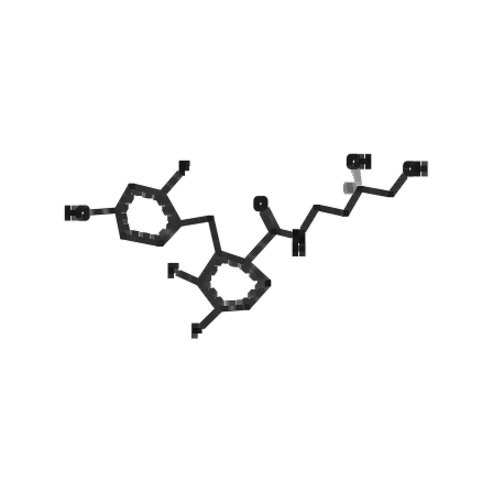 O=C(NCC[C@H](O)CO)c1ccc(F)c(F)c1Cc1ccc(O)cc1F